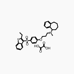 CCc1sc2ccccc2c1S(=O)(=O)c1ccc(OCCCN(C)C2CCCCc3ccccc32)cc1.O=C(O)C(=O)O